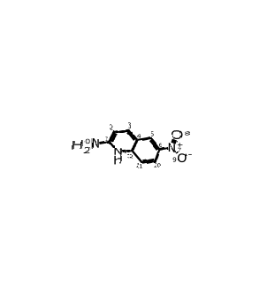 NC1=CC=C2C=C([N+](=O)[O-])C=CC2N1